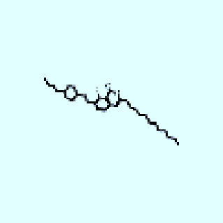 CCCCCCCCCCCCc1cc2ccc(CCC3CCC(CCCC)CC3)c(F)c2c(=O)o1